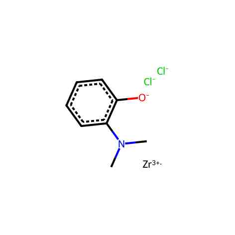 CN(C)c1ccccc1[O-].[Cl-].[Cl-].[Zr+3]